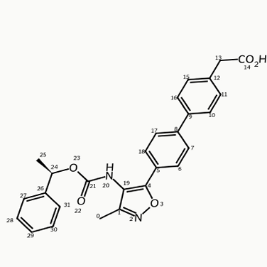 Cc1noc(-c2ccc(-c3ccc(CC(=O)O)cc3)cc2)c1NC(=O)O[C@H](C)c1ccccc1